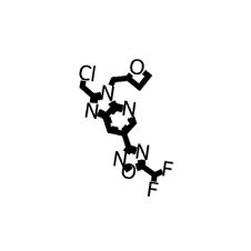 FC(F)c1nc(-c2cnc3c(c2)nc(CCl)n3CC2CCO2)no1